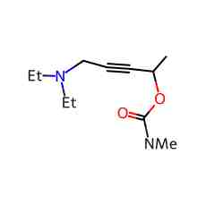 CCN(CC)CC#CC(C)OC(=O)NC